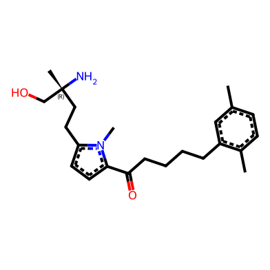 Cc1ccc(C)c(CCCCC(=O)c2ccc(CC[C@@](C)(N)CO)n2C)c1